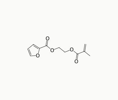 C=C(C)C(=O)OCCOC(=O)c1ccco1